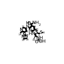 CSCC[C@H](Nc1nc(Nc2cnc(C)c(-n3nccn3)c2)c(C(N)=O)cc1F)[C@H](C)NC(=O)O